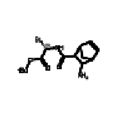 CC[C@H](NC(=O)C1C2C=CC(C2)C1N)C(=O)OC(C)(C)C